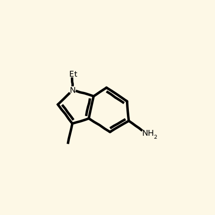 CCn1cc(C)c2cc(N)ccc21